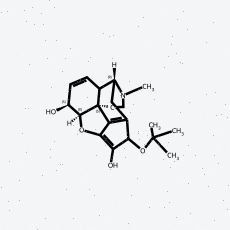 CN1CC[C@@]23C4=C5C[C@@H]1C2C=C[C@H](O)[C@@H]3OC4=C(O)C5OC(C)(C)C